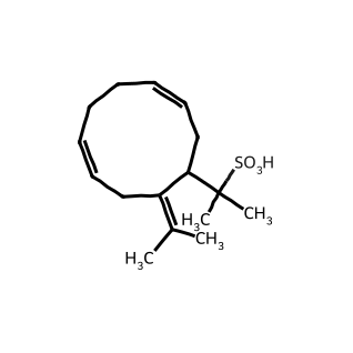 CC(C)=C1CC=CCCC=CCC1C(C)(C)S(=O)(=O)O